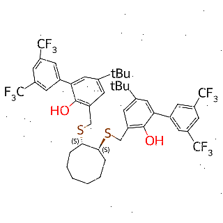 CC(C)(C)c1cc(CS[C@H]2CCCCCC[C@@H]2SCc2cc(C(C)(C)C)cc(-c3cc(C(F)(F)F)cc(C(F)(F)F)c3)c2O)c(O)c(-c2cc(C(F)(F)F)cc(C(F)(F)F)c2)c1